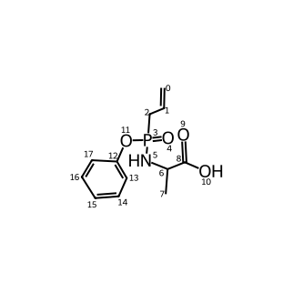 C=CCP(=O)(NC(C)C(=O)O)Oc1ccccc1